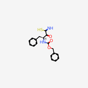 N=C(S)C(=O)[C@H](Cc1ccccc1)NC(=O)OCc1ccccc1